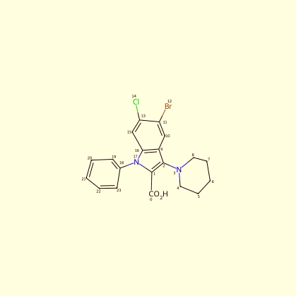 O=C(O)c1c(N2CCCCC2)c2cc(Br)c(Cl)cc2n1-c1ccccc1